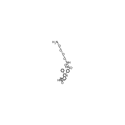 NCCOCCOCCOCCOCCNC(=O)CNC1(c2ccc(-c3nc4ccn5c(=O)[nH]nc5c4cc3-c3ccccc3)cc2)CCC1